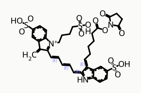 C=C1C(/C=C/C=C/C=c2/[nH]c3ccc(S(=O)(=O)O)cc3/c2=C\CCCCC(=O)ON2C(=O)CCC2=O)=[N+](CCCCS(=O)(=O)O)c2ccc(S(=O)(=O)O)cc21